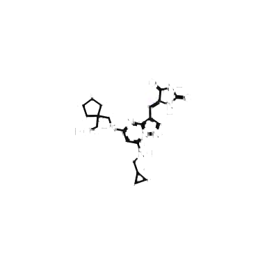 O=C1NC(=O)/C(=C/c2cnn3c(NCC4CC4)cc(NCC4(CO)CCCC4)nc23)N1